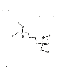 CCOP(=O)(OCC)OCCOP(=O)(OCC)OCC